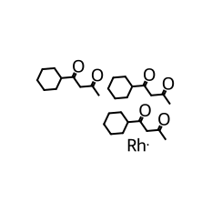 CC(=O)CC(=O)C1CCCCC1.CC(=O)CC(=O)C1CCCCC1.CC(=O)CC(=O)C1CCCCC1.[Rh]